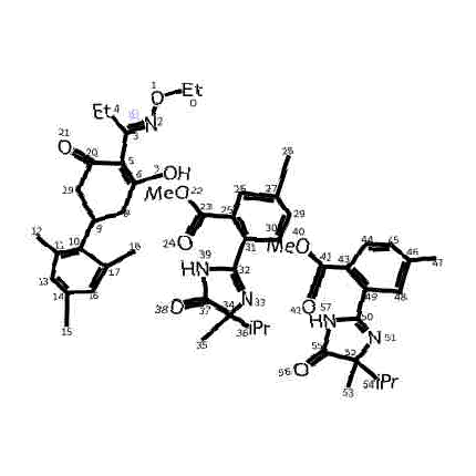 CCO/N=C(\CC)C1=C(O)CC(c2c(C)cc(C)cc2C)CC1=O.COC(=O)c1cc(C)ccc1C1=NC(C)(C(C)C)C(=O)N1.COC(=O)c1ccc(C)cc1C1=NC(C)(C(C)C)C(=O)N1